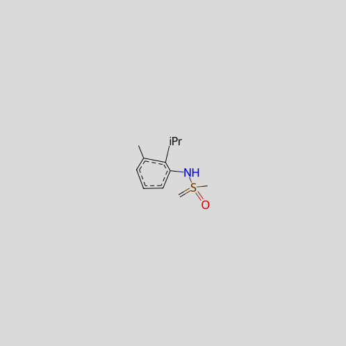 C=S(C)(=O)Nc1cccc(C)c1C(C)C